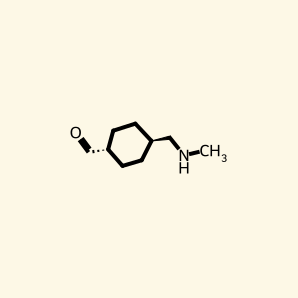 CNC[C@H]1CC[C@H](C=O)CC1